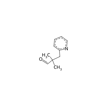 CC(C)(C=O)Cc1ccccn1